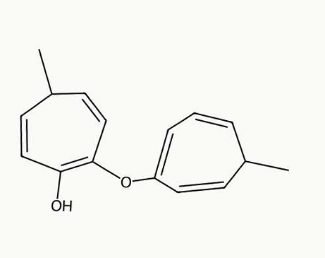 CC1C=CC=C(OC2=C(O)C=CC(C)C=C2)C=C1